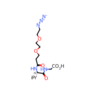 CC(C)[C@H](NC(=O)CCOCCOCCN=[N+]=[N-])C(=O)NCC(=O)O